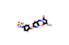 CC(=O)OC1CC(=O)N(Cc2ccc(Oc3ccc(NS(C)(=O)=O)cc3)nc2)C1=O